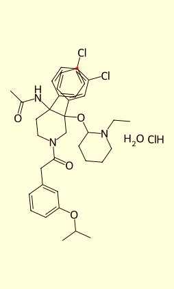 CCN1CCCCC1OC1(c2ccc(Cl)c(Cl)c2)CN(C(=O)Cc2cccc(OC(C)C)c2)CCC1(NC(C)=O)c1ccccc1.Cl.O